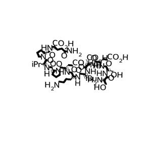 CC[C@H](C)[C@H](NC(=O)[C@H](CC(=O)O)NC(=O)[C@H](CCC(=O)O)NC(=O)[C@H](CO)NC(=O)[C@@H](N)CO)C(=O)N[C@@H](CCCCN)C(=O)N[C@@H](CCC(=O)O)C(=O)N1CCC[C@H]1C(=O)N[C@H](C(=O)N1CCC[C@H]1C(=O)N[C@@H](CCC(N)=O)C(=O)O)C(C)C